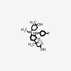 CCN(c1ccc(C(C)(C)CC(=O)O)cc1Nc1ccc(F)cc1)C1CCC(C)(O)CC1